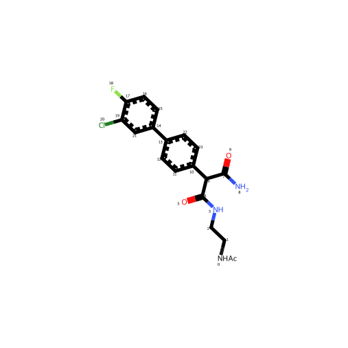 CC(=O)NCCNC(=O)C(C(N)=O)c1ccc(-c2ccc(F)c(Cl)c2)cc1